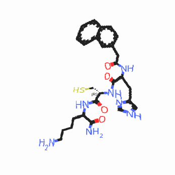 NCCCCC(NC(=O)[C@H](CS)NC(=O)C(Cc1c[nH]cn1)NC(=O)Cc1ccc2ccccc2c1)C(N)=O